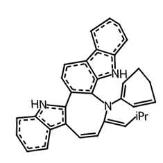 CC(C)/C=C1/C=C\c2c([nH]c3ccccc23)-c2ccc3c([nH]c4ccccc43)c2N1C1=CCCC=C1